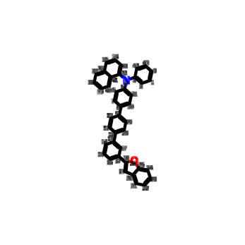 c1ccc(N(c2ccc(-c3ccc(-c4cccc(-c5cc6ccccc6o5)c4)cc3)cc2)c2cccc3ccccc23)cc1